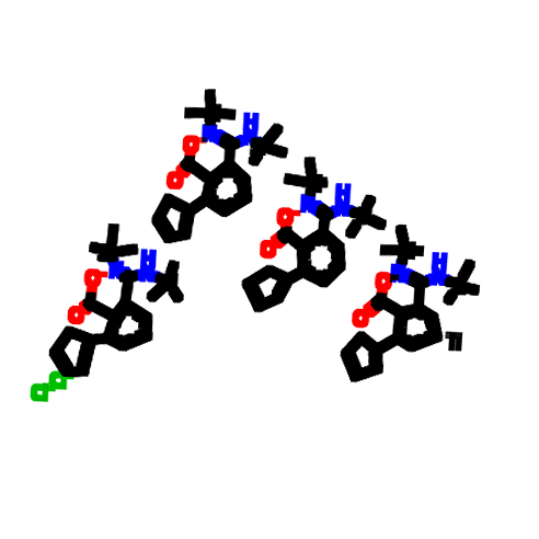 C[Si](C)(C)N=C(N[Si](C)(C)C)c1cccc(C2=CC=CC2)c1C(=O)[O-].C[Si](C)(C)N=C(N[Si](C)(C)C)c1cccc(C2=CC=CC2)c1C(=O)[O-].C[Si](C)(C)N=C(N[Si](C)(C)C)c1cccc(C2=CC=CC2)c1C(=O)[O-].C[Si](C)(C)N=C(N[Si](C)(C)C)c1cccc(C2=CC=CC2)c1C(=O)[O-].[Cl-].[Cl-].[Ti]